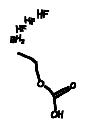 B.CCOC(=O)O.F.F.F